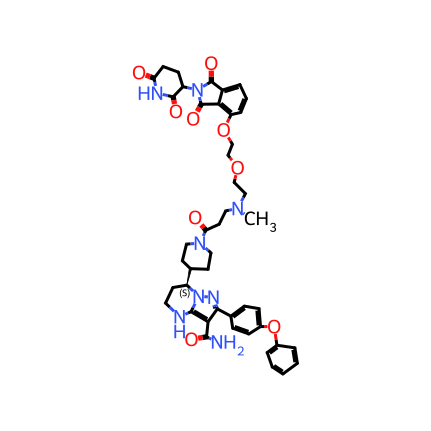 CN(CCOCCOc1cccc2c1C(=O)N(C1CCC(=O)NC1=O)C2=O)CCC(=O)N1CCC([C@@H]2CCNc3c(C(N)=O)c(-c4ccc(Oc5ccccc5)cc4)nn32)CC1